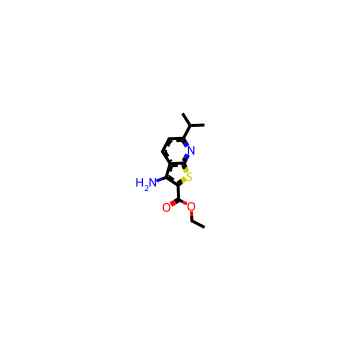 CCOC(=O)c1sc2nc(C(C)C)ccc2c1N